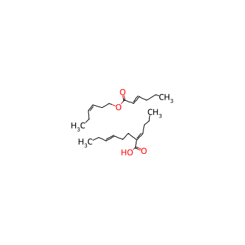 CC/C=C\CCOC(=O)/C=C/CCC.CCC=CCC/C(=C\CCC)C(=O)O